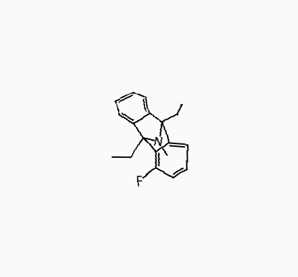 CCC12c3ccccc3C(CC)(c3c(F)cccc31)N2C